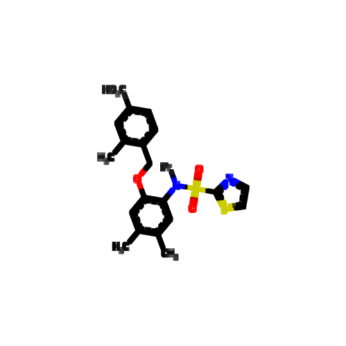 Cc1cc(OCc2ccc(C(=O)O)cc2C)c(N(C(C)C)S(=O)(=O)c2nccs2)cc1C